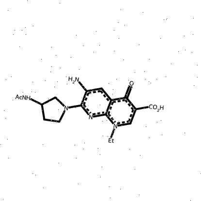 CCn1cc(C(=O)O)c(=O)c2cc(N)c(N3CCC(NC(C)=O)C3)nc21